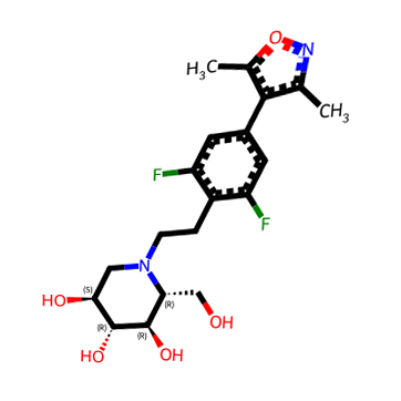 Cc1noc(C)c1-c1cc(F)c(CCN2C[C@H](O)[C@@H](O)[C@H](O)[C@H]2CO)c(F)c1